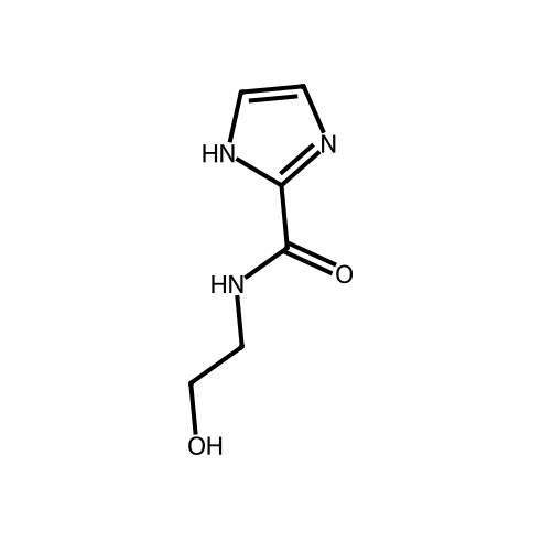 O=C(NCCO)c1ncc[nH]1